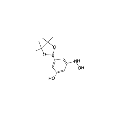 CC1(C)OB(c2cc(O)cc(NO)c2)OC1(C)C